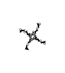 C[Si]1(CCCOCC2CC2)O[Si](C)(CCCOCC2CO2)O[Si](C)(CCCOCC2CO2)O[Si](C)(CCCOCC2CO2)O1